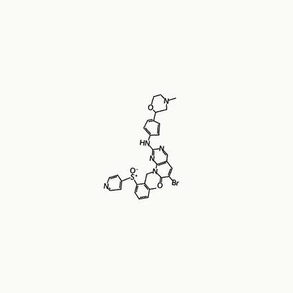 Cc1cccc([S+]([O-])c2ccncc2)c1Cn1c(=O)c(Br)cc2cnc(Nc3ccc(C4CN(C)CCO4)cc3)nc21